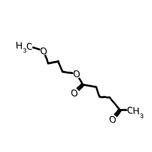 COCCCOC(=O)CCCC(C)=O